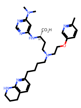 Cc1ccc(OCCN(CCCCc2ccc3c(n2)NCCC3)CC[C@H](Nc2cc(N(C)C)ncn2)C(=O)O)cn1